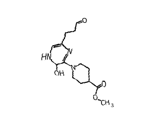 COC(=O)C1CCN(C2=NC(CCC=O)=CNC2O)CC1